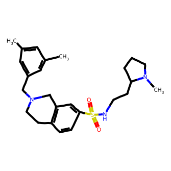 Cc1cc(C)cc(CN2CCc3ccc(S(=O)(=O)NCCC4CCCN4C)cc3C2)c1